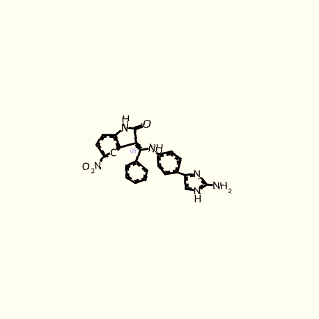 Nc1nc(-c2ccc(N/C(=C3\C(=O)Nc4ccc([N+](=O)[O-])cc43)c3ccccc3)cc2)c[nH]1